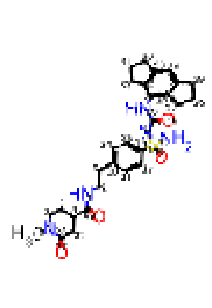 CN1CCC(C(=O)NCCc2ccc(S(N)(=O)=NC(=O)Nc3c4c(cc5c3CCC5)CCC4)cc2)CC1=O